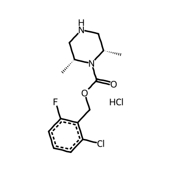 C[C@@H]1CNC[C@H](C)N1C(=O)OCc1c(F)cccc1Cl.Cl